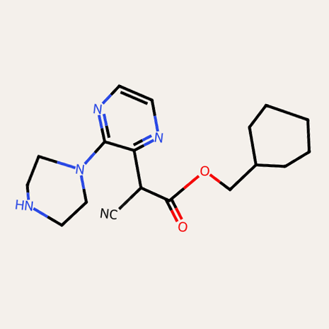 N#CC(C(=O)OCC1CCCCC1)c1nccnc1N1CCNCC1